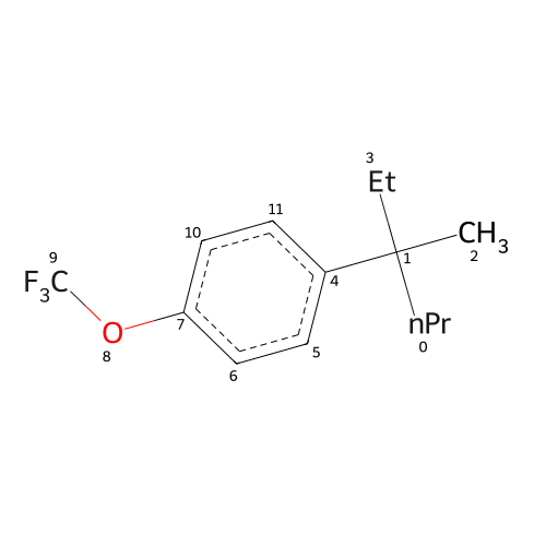 CCCC(C)(CC)c1ccc(OC(F)(F)F)cc1